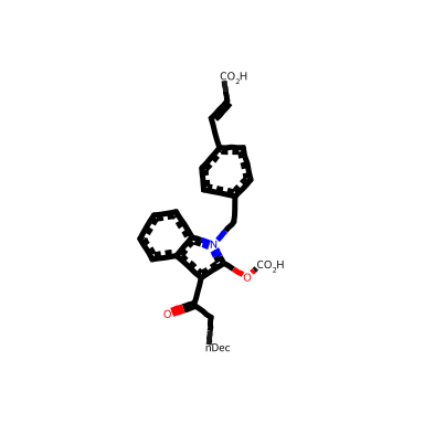 CCCCCCCCCCCC(=O)c1c(OC(=O)O)n(Cc2ccc(/C=C/C(=O)O)cc2)c2ccccc12